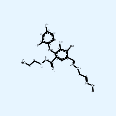 CON=CCON=Cc1cc(C(=O)NOCCO)c(Nc2ccc(I)cc2F)c(F)c1F